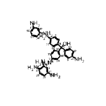 Nc1ccc(C(O)(c2ccc(N)cc2)c2ccc(N)cc2)cc1.Nc1ccc(N)c(N)c1.Nc1cccc(N)c1